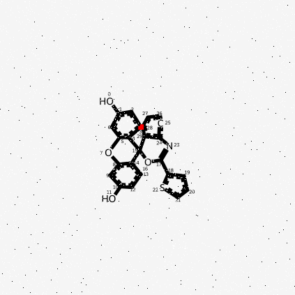 Oc1ccc2c(c1)Oc1cc(O)ccc1C21OC(c2cccs2)=Nc2ccccc21